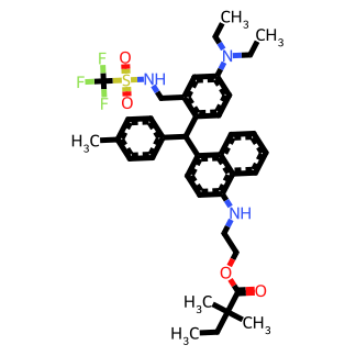 CCN(CC)c1ccc(C(c2ccc(C)cc2)c2ccc(NCCOC(=O)C(C)(C)CC)c3ccccc23)c(CNS(=O)(=O)C(F)(F)F)c1